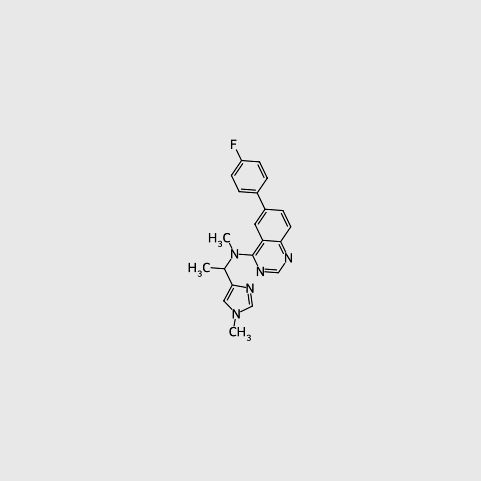 CC(c1cn(C)cn1)N(C)c1ncnc2ccc(-c3ccc(F)cc3)cc12